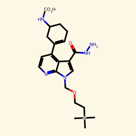 C[Si](C)(C)CCOCn1cc(C(=O)NN)c2c(C3=CCCC(NC(=O)O)C3)ccnc21